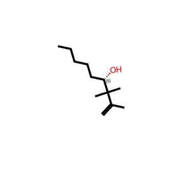 C=C(C)C(C)(C)[C@@H](O)CCCCC